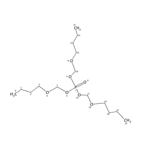 CCCCOCOP(=O)(OCOCCCC)OCOCCCC